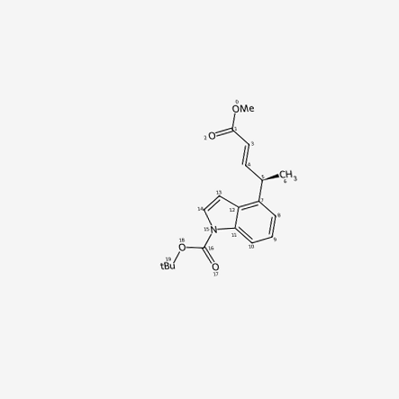 COC(=O)C=C[C@@H](C)c1cccc2c1ccn2C(=O)OC(C)(C)C